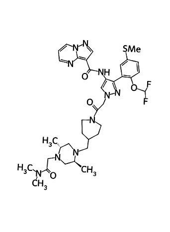 CSc1ccc(OC(F)F)c(-c2nn(CC(=O)N3CCC(CN4C[C@@H](C)N(CC(=O)N(C)C)C[C@@H]4C)CC3)cc2NC(=O)c2cnn3cccnc23)c1